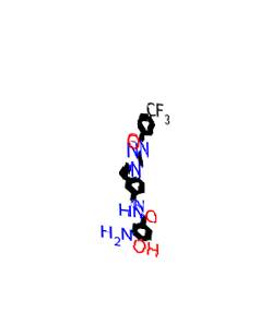 Nc1cc(C(=O)N/N=C/c2ccc3c(ccn3Cc3noc(-c4ccc(C(F)(F)F)cc4)n3)c2)ccc1O